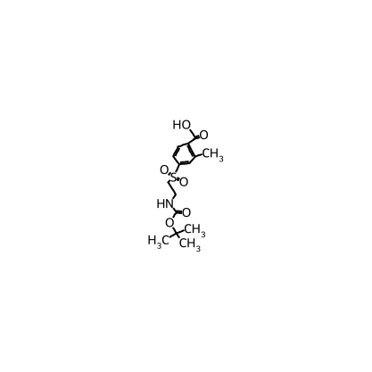 Cc1cc(S(=O)(=O)CCNC(=O)OC(C)(C)C)ccc1C(=O)O